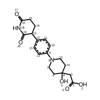 O=C(O)CC1(O)CCN(c2ccc(C3CCC(=O)NC3=O)cc2)CC1